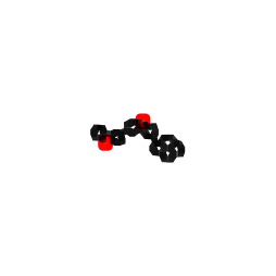 c1cc2ccc3ccc(-c4ccc5oc6ccc(-c7ccc8oc9ccccc9c8c7)cc6c5c4)c4ccc(c1)c2c34